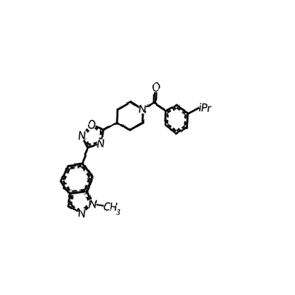 CC(C)c1cccc(C(=O)N2CCC(c3nc(-c4ccc5cnn(C)c5c4)no3)CC2)c1